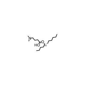 CCCCCC[C@H](CCCC)O[C@@H](O)CCCN(C)C